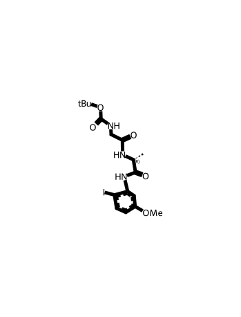 COc1ccc(I)c(NC(=O)[C@@H](C)NC(=O)CNC(=O)OC(C)(C)C)c1